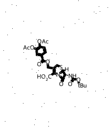 CC(=O)Oc1ccc(C(=O)OCC2=C(C(=O)O)N3C(=O)[C@@H](NC(=O)OC(C)(C)C)[C@H]3SC2)cc1OC(C)=O